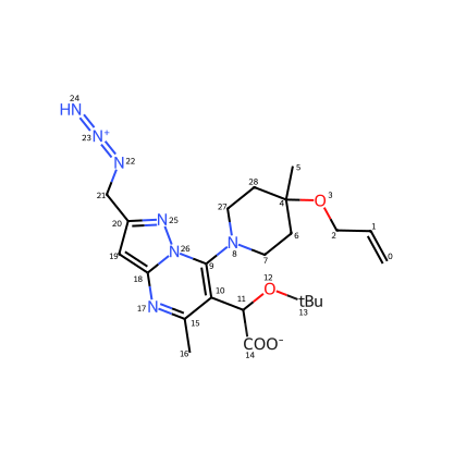 C=CCOC1(C)CCN(c2c(C(OC(C)(C)C)C(=O)[O-])c(C)nc3cc(CN=[N+]=N)nn23)CC1